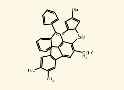 Cc1cc2c(cc1C)-c1cc(C)c(C)[c]([Zr+2]([C]3=CC(C(C)(C)C)=CC3C)=[C](c3ccccc3)c3ccccc3)c1C2.[Cl-].[Cl-]